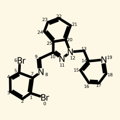 Brc1cccc(Br)c1/N=C/c1nn(Cc2ccccn2)c2ccccc12